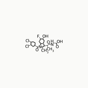 Cc1c(C(C)C(=O)NCC(=O)O)c2cc(O)c(F)cc2n1C(=O)c1ccc(Cl)c(Cl)c1